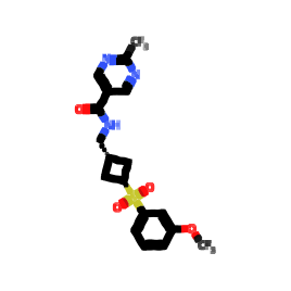 O=C(NC[C@H]1C[C@H](S(=O)(=O)c2cccc(OC(F)(F)F)c2)C1)c1cnc(C(F)(F)F)nc1